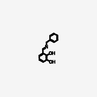 Oc1cccc(C=NCc2ccccc2)c1O